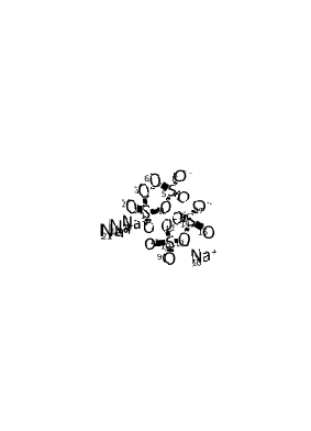 O=S(=O)([O-])OS(=O)(=O)[O-].O=S(=O)([O-])OS(=O)(=O)[O-].[Na+].[Na+].[Na+].[Na+]